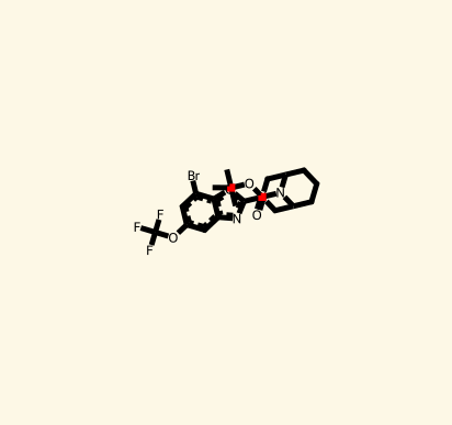 CC(C)(C)OC(=O)N1C2CCCC1CN(c1nc3cc(OC(F)(F)F)cc(Br)c3o1)C2